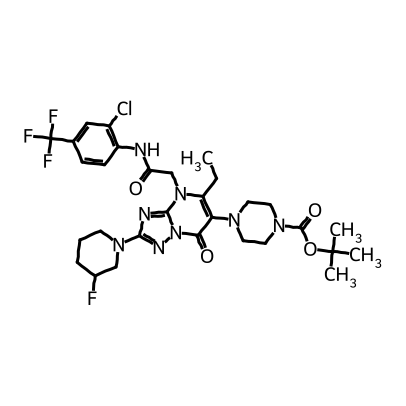 CCc1c(N2CCN(C(=O)OC(C)(C)C)CC2)c(=O)n2nc(N3CCCC(F)C3)nc2n1CC(=O)Nc1ccc(C(F)(F)F)cc1Cl